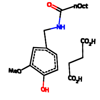 CCCCCCCCC(=O)NCc1ccc(O)c(OC)c1.O=C(O)CCC(=O)O